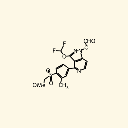 COCS(=O)(=O)c1ccc(-c2nccc3c2c(OC(F)F)nn3OC=O)cc1C